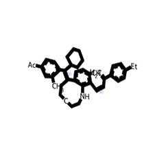 C=C(/C=C\c1c(C)ccc2c1NCCCCC/C2=C(\c1ccc(C(C)=O)cc1C)C1CCCCC1)c1ccc(CC)cc1